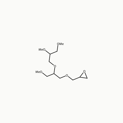 COCC(COC(COC)COCC1CO1)OC